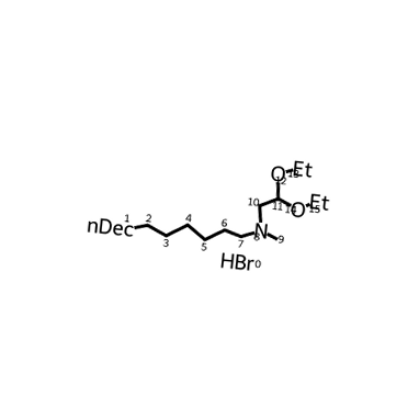 Br.CCCCCCCCCCCCCCCCN(C)CC(OCC)OCC